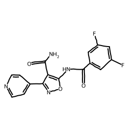 NC(=O)c1c(-c2ccncc2)noc1NC(=O)c1cc(F)cc(F)c1